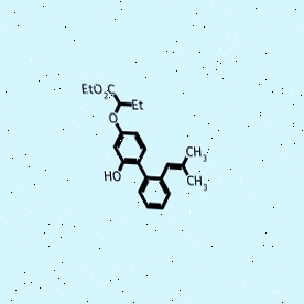 CCOC(=O)C(CC)Oc1ccc(-c2ccccc2C=C(C)C)c(O)c1